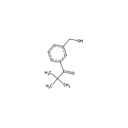 CC(C)(C)C(=O)c1cccc(CO)c1